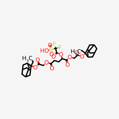 CCC1(OC(=O)COC(=O)CCC(OC(=O)C(F)(F)S(=O)(=O)O)C(=O)OCC(=O)OC2(CC)C3CC4CC(C3)CC2C4)C2CC3CC(C2)CC1C3